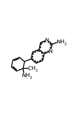 CC1(N)C=CC=CC1c1ccc2nc(N)ncc2c1